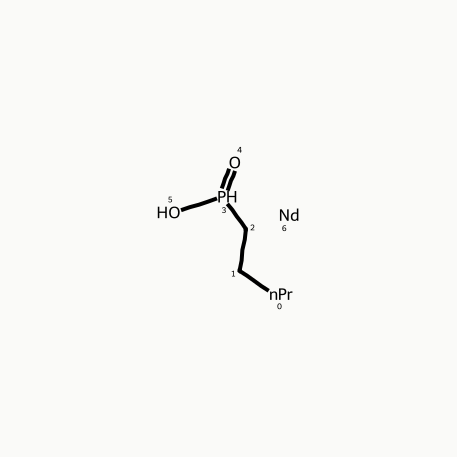 CCCCC[PH](=O)O.[Nd]